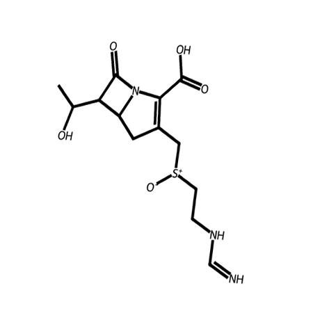 CC(O)C1C(=O)N2C(C(=O)O)=C(C[S+]([O-])CCNC=N)CC12